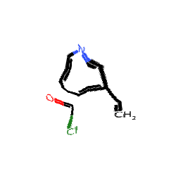 C=Cc1cccnc1.O=CCl